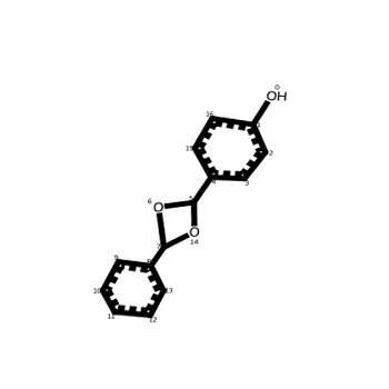 Oc1ccc(C2OC(c3ccccc3)O2)cc1